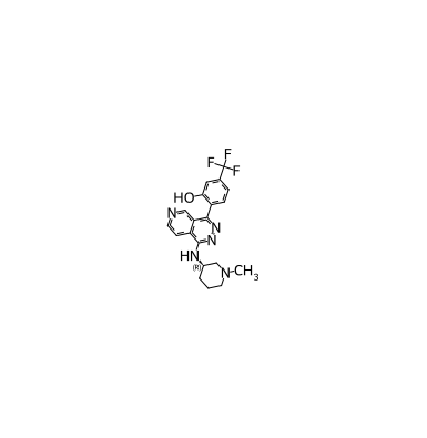 CN1CCC[C@@H](Nc2nnc(-c3ccc(C(F)(F)F)cc3O)c3cnccc23)C1